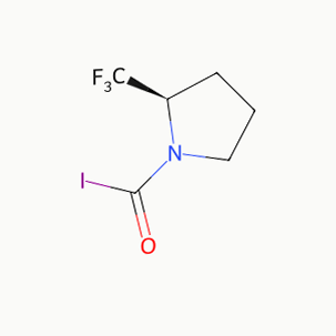 O=C(I)N1CCC[C@@H]1C(F)(F)F